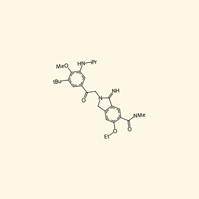 CCOc1cc2c(cc1C(=O)NC)C(=N)N(CC(=O)c1cc(NC(C)C)c(OC)c(C(C)(C)C)c1)C2